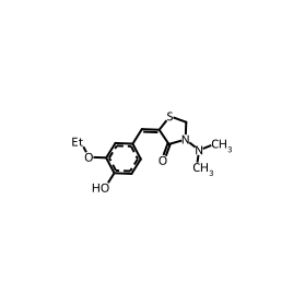 CCOc1cc(C=C2SCN(N(C)C)C2=O)ccc1O